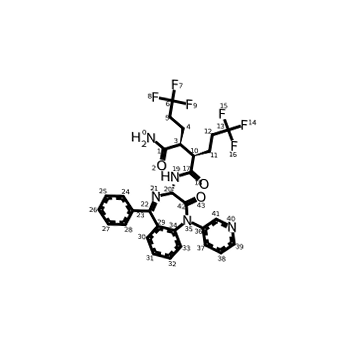 NC(=O)[C@@H](CCC(F)(F)F)[C@@H](CCC(F)(F)F)C(=O)N[C@H]1N=C(c2ccccc2)c2ccccc2N(c2cccnc2)C1=O